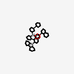 c1ccc(-c2cccc(N(c3cccc(-c4cccc5ccccc45)c3)c3ccccc3-c3c(-n4c5ccccc5c5ccccc54)ccc4ccccc34)c2)cc1